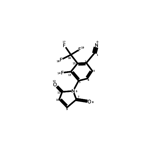 N#Cc1ccc(N2C(=O)C=CC2=O)c(F)c1C(F)(F)F